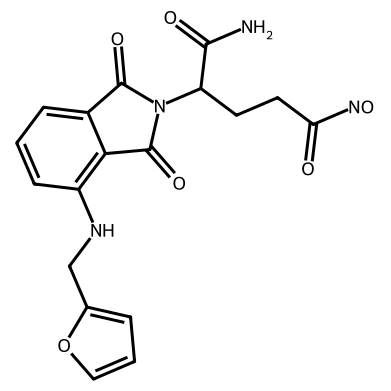 NC(=O)C(CCC(=O)N=O)N1C(=O)c2cccc(NCc3ccco3)c2C1=O